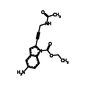 CCOC(=O)n1c(C#CCNC(C)=O)cc2cc(N)ccc21